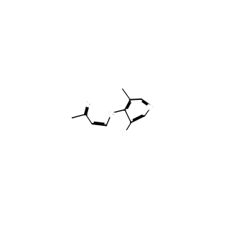 CC(=N)/C=C\Nc1c(C)cncc1F